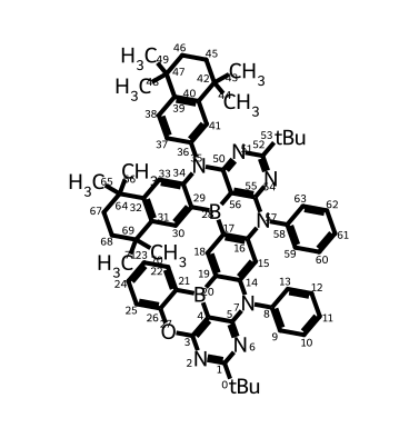 CC(C)(C)c1nc2c3c(n1)N(c1ccccc1)c1cc4c(cc1B3c1ccccc1O2)B1c2cc3c(cc2N(c2ccc5c(c2)C(C)(C)CCC5(C)C)c2nc(C(C)(C)C)nc(c21)N4c1ccccc1)C(C)(C)CCC3(C)C